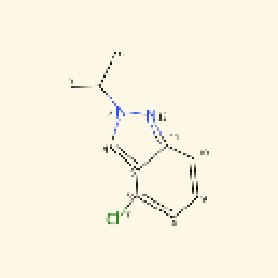 CC(C)n1cc2c(Cl)cccc2n1